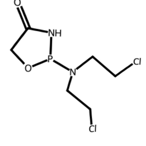 O=C1COP(N(CCCl)CCCl)N1